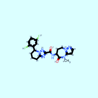 CN1C(=O)C(NC(=O)c2nc3n(n2)C(c2cc(F)ccc2F)CCC3)CCn2nccc21